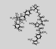 Cc1ncsc1-c1ccc([C@H](C)NC(=O)[C@@H]2C[C@@H](O)CN2C(=O)[C@@H](NC(=O)COCCC2(CNc3ccc(C(=O)NC4C(C)(C)C(Oc5ccc(C#N)c(Cl)c5)C4(C)C)cc3)COC2)C(C)(C)C)cc1